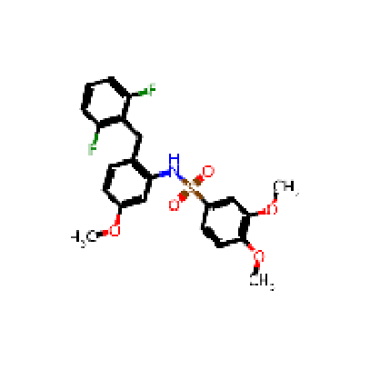 COc1ccc(Cc2c(F)cccc2F)c(NS(=O)(=O)c2ccc(OC)c(OC)c2)c1